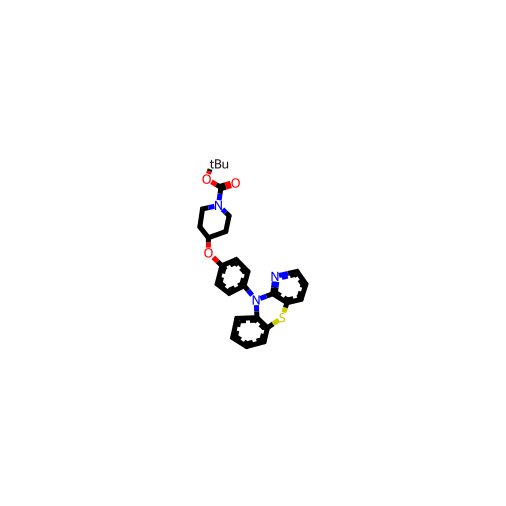 CC(C)(C)OC(=O)N1CCC(Oc2ccc(N3c4ccccc4Sc4cccnc43)cc2)CC1